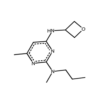 CCCN(C)c1nc(C)cc(NC2COC2)n1